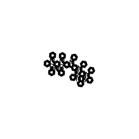 c1ccc(N2c3ccccc3B3c4ccccc4N4c5ccccc5B5c6cc7c8cc9c(cc8n(-c8ccccc8)c7cc6N(c6ccccc6)c6cc2c3c4c65)N(c2ccccc2)c2cc3c4c5c2B9c2ccccc2N5c2ccccc2B4c2ccccc2N3c2ccccc2)cc1